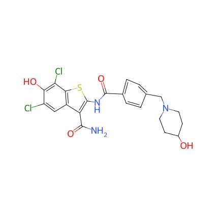 NC(=O)c1c(NC(=O)c2ccc(CN3CCC(O)CC3)cc2)sc2c(Cl)c(O)c(Cl)cc12